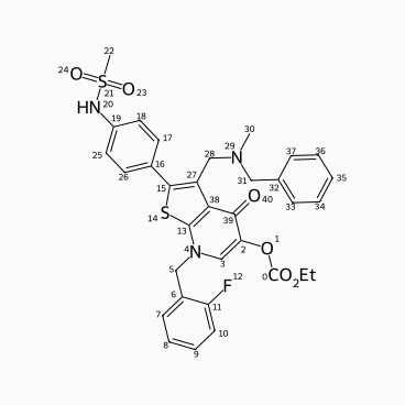 CCOC(=O)Oc1cn(Cc2ccccc2F)c2sc(-c3ccc(NS(C)(=O)=O)cc3)c(CN(C)Cc3ccccc3)c2c1=O